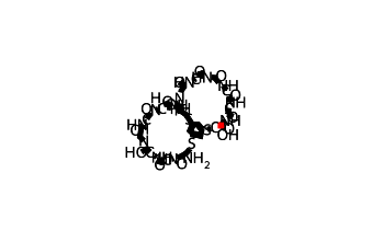 N[C@H]1CSc2cc3cc(c2)SC[C@H](NC(=O)CNC(=O)CNC(=O)CNC(O)CNC(=O)CNC1=O)C(=O)NCC(=O)NCC(=O)NCC(=O)NCC(=O)NCC(=O)N[C@H](C(=O)O)CS3